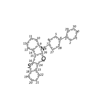 c1ccc(-c2ccc(-n3c4ccccc4c4c5sc6ccccc6c5oc43)cc2)cc1